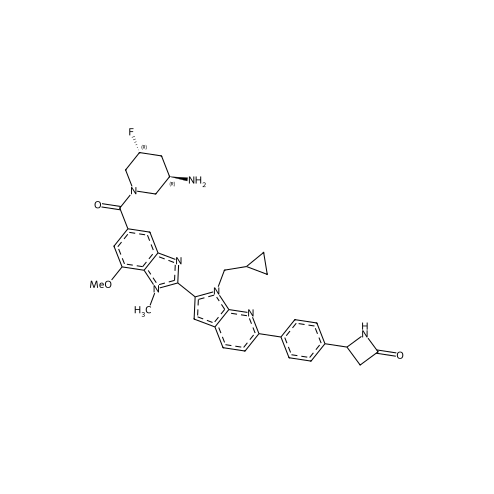 COc1cc(C(=O)N2C[C@H](N)C[C@@H](F)C2)cc2nc(-c3cc4ccc(-c5ccc(C6CC(=O)N6)cc5)nc4n3CC3CC3)n(C)c12